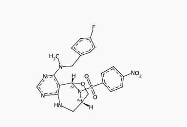 CN(Cc1ccc(F)cc1)c1ncnc2c1[C@@H]1OC[C@H](CN2)N1S(=O)(=O)c1ccc([N+](=O)[O-])cc1